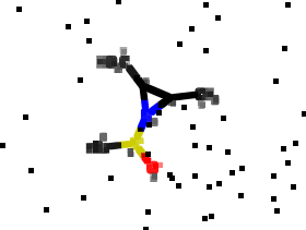 CCCC[S+]([O-])N1C(C)C1C(=O)O